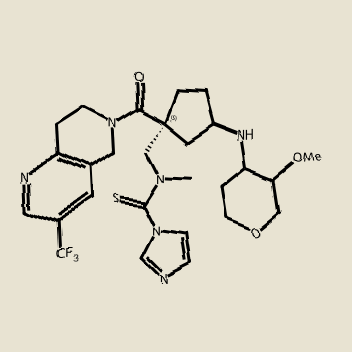 COC1COCCC1NC1CC[C@](CN(C)C(=S)n2ccnc2)(C(=O)N2CCc3ncc(C(F)(F)F)cc3C2)C1